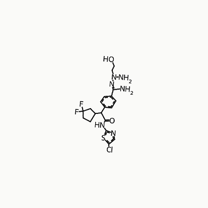 N/C(=N\N(N)CCO)c1ccc(C(C(=O)Nc2ncc(Cl)s2)C2CCC(F)(F)C2)cc1